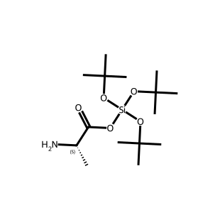 C[C@H](N)C(=O)O[Si](OC(C)(C)C)(OC(C)(C)C)OC(C)(C)C